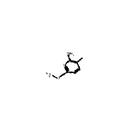 Cc1ccc(OC(F)(F)F)nc1N